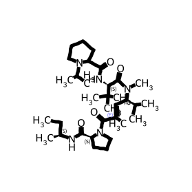 CC[C@H](C)NC(=O)[C@@H]1CCCN1C(=O)/C(C)=C/[C@H](C(C)C)N(C)C(=O)[C@@H](NC(=O)C1CCCCN1C(C)C)C(C)(C)C